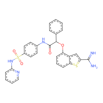 N=C(N)c1cc2c(OC(C(=O)Nc3ccc(S(=O)(=O)Nc4ccccn4)cc3)c3ccccc3)cccc2s1